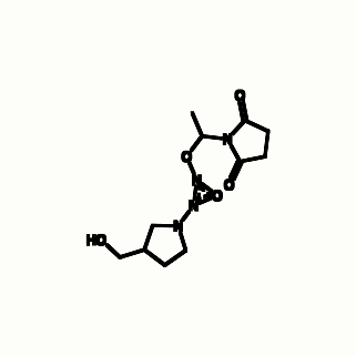 CC(On1on1N1CCC(CO)C1)N1C(=O)CCC1=O